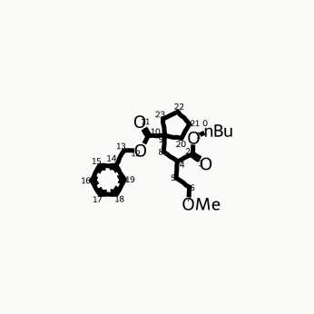 CCCCOC(=O)C(CCOC)CC1(C(=O)OCc2ccccc2)CCCC1